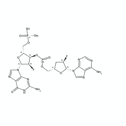 Nc1nc2c(ncn2[C@@H]2O[C@H](CO[P@](=O)(O)S)[C@@H](O[PH](=O)OC[C@@H]3C[C@@H](F)[C@H](n4cnc5c(N)ncnc54)O3)[C@H]2F)c(=O)[nH]1